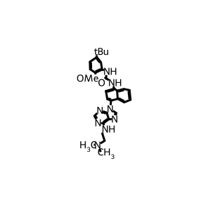 COc1ccc(C(C)(C)C)cc1NC(=O)Nc1ccc(-n2cnc3c(NCCN(C)C)ncnc32)c2ccccc12